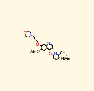 CNc1ccc(Oc2ccnc3cc(OCCCN4CCOCC4)c(OC)cc23)nc1C